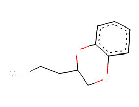 COCCC1COc2ccccc2O1